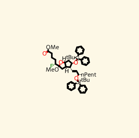 CCCCC[C@@H](/C=C/[C@@H]1[C@H]2C[C@](OC)([C@H](F)CCCC(=O)OC)O[C@H]2C[C@H]1O[Si](c1ccccc1)(c1ccccc1)C(C)(C)C)O[Si](c1ccccc1)(c1ccccc1)C(C)(C)C